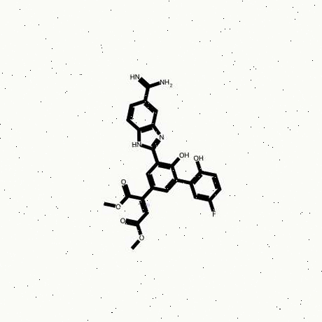 COC(=O)/C=C(\C(=O)OC)c1cc(-c2nc3cc(C(=N)N)ccc3[nH]2)c(O)c(-c2cc(F)ccc2O)c1